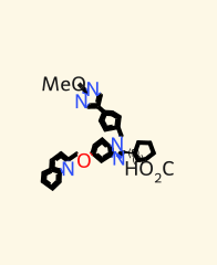 COc1ncc(-c2ccc(Cn3c([C@H]4CCCC[C@H]4C(=O)O)nc4cc(OCc5ccc6ccccc6n5)ccc43)cc2)cn1